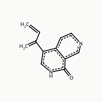 C=CC(=C)c1c[nH]c(=O)c2cnccc12